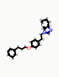 c1ccc(CCCOc2ccc(CCn3cnc4ccccc43)cc2)cc1